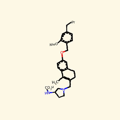 COc1cc(CC(C)C)ccc1COc1ccc2c(c1)CCC(CN1CCC(NC(=O)O)C1)=C2C